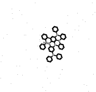 B1c2ccc(N(c3ccccc3)c3ccccc3)cc2N2c3ccccc3B3c4ccccc4N(c4ccccc4)c4cc(-c5ccccc5Nc5ccccc5)c1c2c43